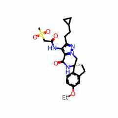 CCOc1ccc2c(c1)CC[C@]21Cn2nc(CCC3CC3)c(NC(=O)CS(C)(=O)=O)c2C(=O)N1